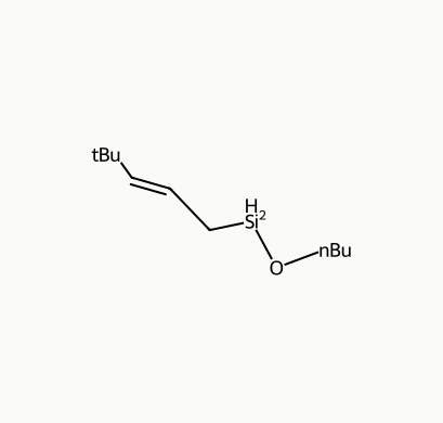 CCCCO[SiH2]CC=CC(C)(C)C